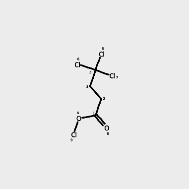 O=C(CCC(Cl)(Cl)Cl)OCl